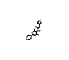 Cc1cc(N2CCOCC2)nc(C)c1NC(=O)Cc1ccsc1